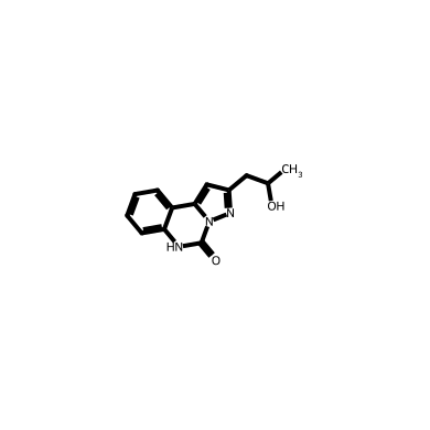 CC(O)Cc1cc2c3ccccc3[nH]c(=O)n2n1